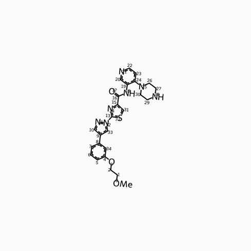 COCCOc1cccc(-c2cnn(-c3nc(C(=O)Nc4cnccc4N4CCNCC4)cs3)c2)c1